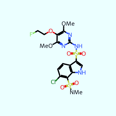 CNS(=O)(=O)c1c(Cl)ccc2c(S(=O)(=O)Nc3nc(OC)c(OCCF)c(OC)n3)c[nH]c12